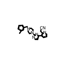 Cc1cccc(CN2CCN(c3nccc(-c4cccnc4CC#N)n3)CC2)c1